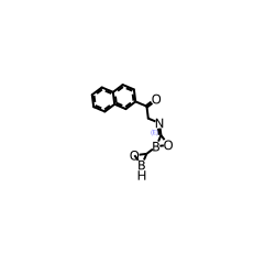 O=C(C/N=C1/OB1C1BO1)c1ccc2ccccc2c1